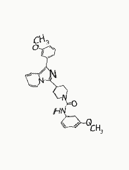 COc1cccc(NC(=O)N2CCC(c3nc(-c4cccc(OC)c4)c4ccccn34)CC2)c1